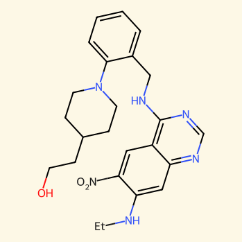 CCNc1cc2ncnc(NCc3ccccc3N3CCC(CCO)CC3)c2cc1[N+](=O)[O-]